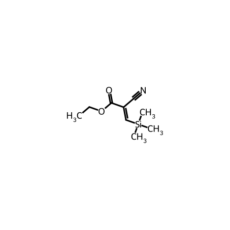 CCOC(=O)C(C#N)=C[Si](C)(C)C